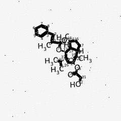 C/C(=C\c1ccccc1)C(=O)O[C@H]1[C@@H]2[C@H](C)CC[C@H]2[C@]2(C)O[C@@]1(C(C)C)C[C@H]2OC(=O)CO